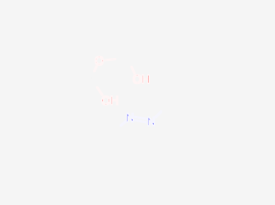 CC(O)OC(C)O.c1ccc(N=Nc2ccccc2)cc1